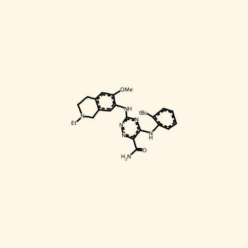 CCN1CCc2cc(OC)c(Nc3nnc(C(N)=O)c(Nc4ccccc4C(C)(C)C)n3)cc2C1